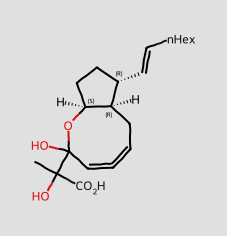 CCCCCCC=C[C@H]1CC[C@@H]2OC(O)(C(C)(O)C(=O)O)C=C=CC[C@@H]21